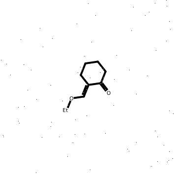 CCO/C=C1\CCCCC1=O